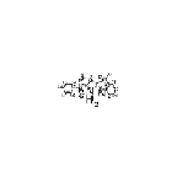 CC(SC(C#N)c1cccc(C(=O)c2ccccc2)c1N)c1ccccc1